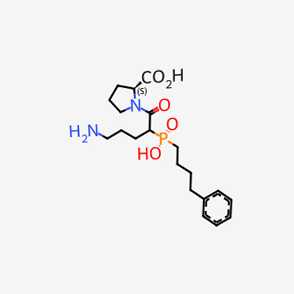 NCCCC(C(=O)N1CCC[C@H]1C(=O)O)P(=O)(O)CCCCc1ccccc1